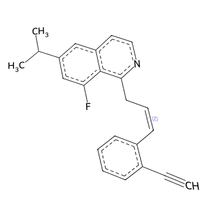 C#Cc1ccccc1/C=C\Cc1nccc2cc(C(C)C)cc(F)c12